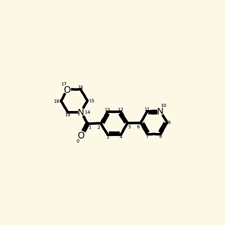 O=C(c1ccc(-c2cccnc2)cc1)N1CCOCC1